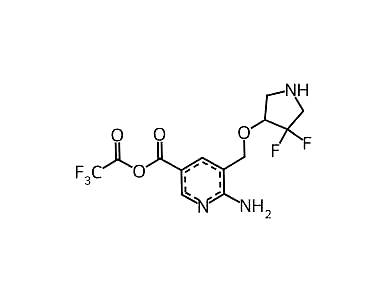 Nc1ncc(C(=O)OC(=O)C(F)(F)F)cc1COC1CNCC1(F)F